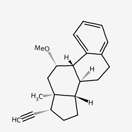 C#C[C@H]1CC[C@H]2[C@@H]3CCc4ccccc4[C@H]3[C@@H](OC)C[C@]12C